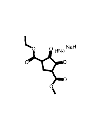 CCOC(=O)C1CC(C(=O)OC)C(=O)C1=O.[NaH].[NaH]